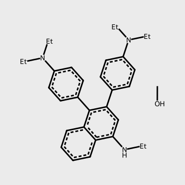 CCNc1cc(-c2ccc(N(CC)CC)cc2)c(-c2ccc(N(CC)CC)cc2)c2ccccc12.CO